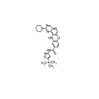 CC(C)(C)c1cc(NC(=O)c2ccc(Cl)c(Nc3ncnc4cnc(N5CCCCC5)nc34)c2)no1